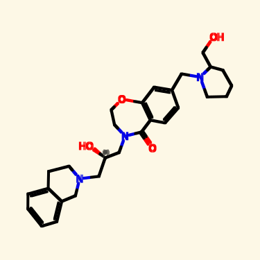 O=C1c2ccc(CN3CCCCC3CO)cc2OCCN1C[C@H](O)CN1CCc2ccccc2C1